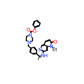 CCn1c(=O)ccc2cnc(N[C@@H](C)c3ccc(CN4CCN(C(=O)Oc5ccccc5)CC4)cc3)cc21